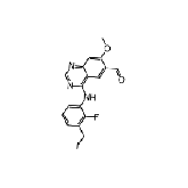 COc1cc2ncnc(Nc3cccc(CI)c3F)c2cc1C=O